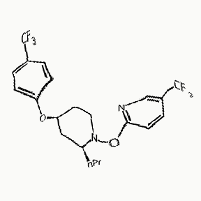 CCC[C@H]1C[C@@H](Oc2ccc(C(F)(F)F)cc2)CCN1Oc1ccc(C(F)(F)F)cn1